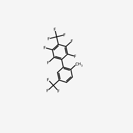 Cc1ccc(C(F)(F)F)cc1-c1c(F)c(F)c(C(F)(F)F)c(F)c1F